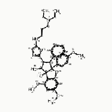 CCN(CC)CCCNc1nnc(C2C(O)C3(O)c4c(OC)cc(OC)cc4OC3(c3ccc(OC)cc3)C2c2ccccc2)o1